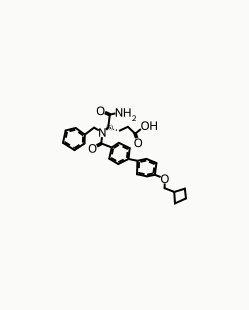 NC(=O)[C@H](CCC(=O)O)N(Cc1ccccc1)C(=O)c1ccc(-c2ccc(OCC3CCC3)cc2)cc1